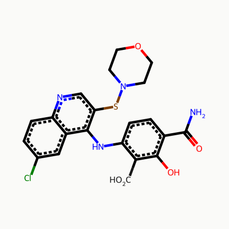 NC(=O)c1ccc(Nc2c(SN3CCOCC3)cnc3ccc(Cl)cc23)c(C(=O)O)c1O